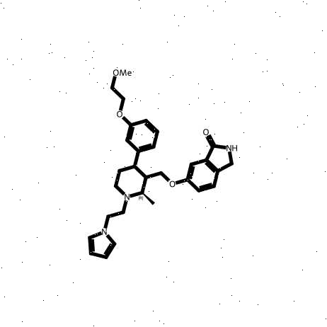 COCCOc1cccc(C2CCN(CCn3cccc3)[C@H](C)C2COc2ccc3c(c2)C(=O)NC3)c1